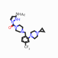 CC(=O)NC1C=CN(C(=O)N2CCN(Cc3ccc(C(F)(F)F)cc3N3CCN(C4CC4)CC3)CC2)N1